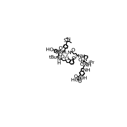 Cc1ncsc1-c1ccc([C@H](C)NC(=O)[C@@H]2C[C@@H](O)CN2C(=O)[C@@H](NC(=O)CCCc2cccc(OC[C@H](CCC(N)=O)NC(=O)[C@@H]3CCCN3C(=O)[C@@H](NC(=O)c3cc4cc(C(=O)P(=O)(O)O)ccc4[nH]3)C(C)C)c2Cl)C(C)(C)C)cc1